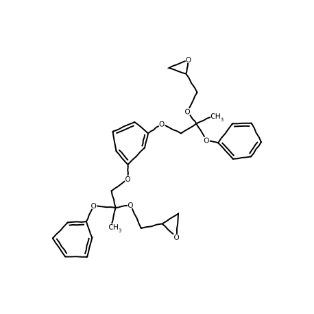 CC(COc1cccc(OCC(C)(OCC2CO2)Oc2ccccc2)c1)(OCC1CO1)Oc1ccccc1